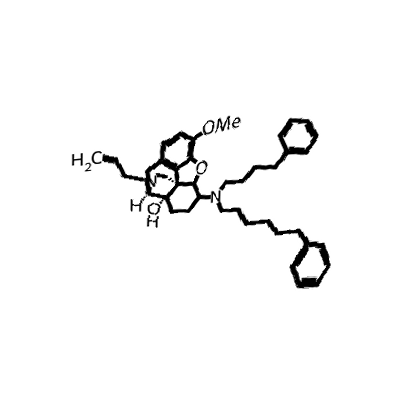 C=CCN1CC[C@]23c4c5ccc(OC)c4OC2C(N(CCCCCCc2ccccc2)CCCCc2ccccc2)CC[C@@]3(O)[C@H]1C5